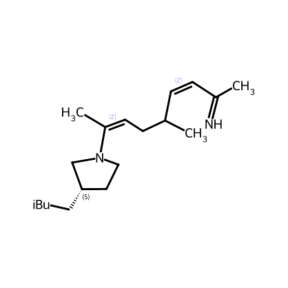 CCC(C)C[C@H]1CCN(/C(C)=C\CC(C)/C=C\C(C)=N)C1